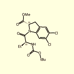 CC[C@H](NC(=O)OC(C)(C)C)C(=O)N1c2cc(Cl)c(Cl)cc2C[C@H]1C(=O)OC